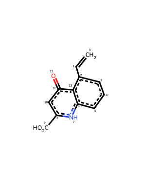 C=Cc1cccc2[nH]c(C(=O)O)cc(=O)c12